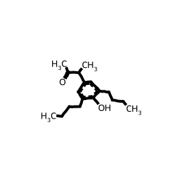 CCCCc1cc(C(C)C(C)=O)cc(CCCC)c1O